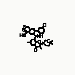 Cc1cc([C@@H](C)Nc2ccc(Cl)cc2-c2ccc3c(c2)C=NOB3O)c2oc(N3CCC(C)(C)CC3)c(C)c(=O)c2c1